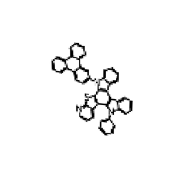 c1ccc(-n2c3ccccc3c3c4c5ccccc5n(-c5ccc6c7ccccc7c7ccccc7c6c5)c4c4sc5ncccc5c4c32)cc1